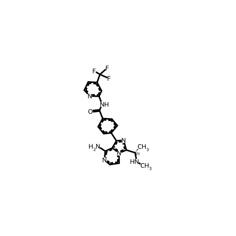 CN[C@@H](C)c1nc(-c2ccc(C(=O)Nc3cc(C(F)(F)F)ccn3)cc2)c2c(N)nccn12